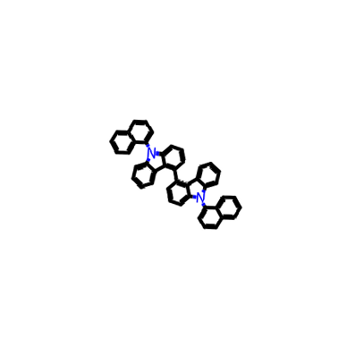 c1ccc2c(-n3c4ccccc4c4c(-c5cccc6c5c5ccccc5n6-c5cccc6ccccc56)cccc43)cccc2c1